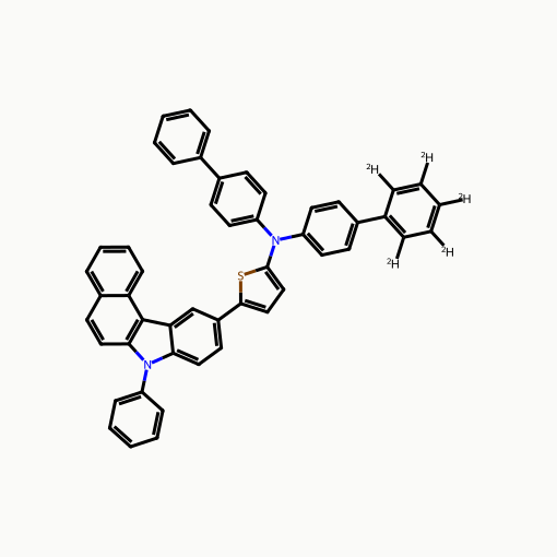 [2H]c1c([2H])c([2H])c(-c2ccc(N(c3ccc(-c4ccccc4)cc3)c3ccc(-c4ccc5c(c4)c4c6ccccc6ccc4n5-c4ccccc4)s3)cc2)c([2H])c1[2H]